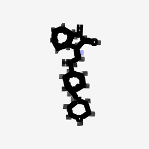 O=C1Nc2ccccc2/C1=C\Nc1ccc(N2CCOCC2)cc1